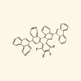 Fc1c(F)c(F)c2c3cc(-c4cc5ccccc5c5ccccc45)c4ccccc4c3c3c4ccccc4c(-c4cc5ccccc5c5ccccc45)cc3c2c1F